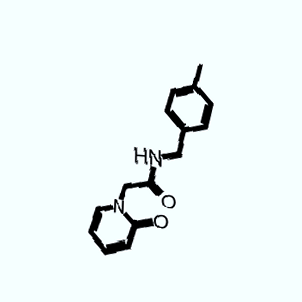 Cc1ccc(CNC(=O)Cn2ccccc2=O)cc1